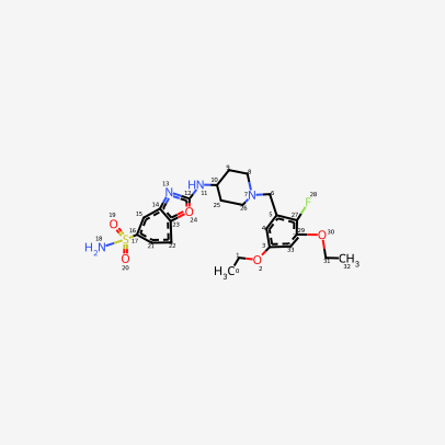 CCOc1cc(CN2CCC(Nc3nc4cc(S(N)(=O)=O)ccc4o3)CC2)c(F)c(OCC)c1